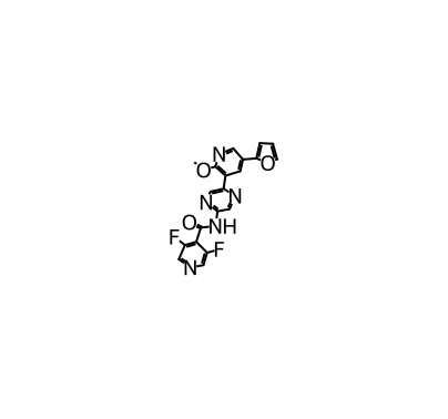 COc1ncc(-c2ccco2)cc1-c1cnc(NC(=O)c2c(F)cncc2F)cn1